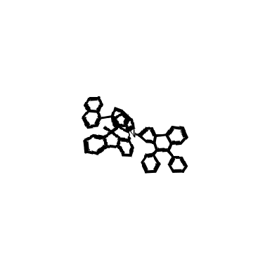 CC1(c2ccccc2)c2ccccc2-c2cccc(N(c3cccc(-c4cccc5ccccc45)c3)c3ccc4c(c3)c(-c3ccccc3)c(-c3ccccc3)c3ccccc34)c21